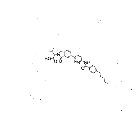 CCCCCc1ccc(C(=O)Nc2ccc(-c3ccc4c(c3)C(=O)N(C(C(=O)O)C(C)C)C4)nn2)cc1